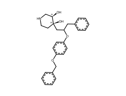 O[C@@H]1CNCC[C@@]1(O)CC(Cc1ccccc1)Oc1ccc(OCc2ccccc2)cc1